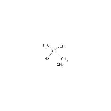 C[Si](C)(C)[O].[CH3]